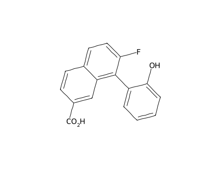 O=C(O)c1ccc2ccc(F)c(-c3ccccc3O)c2c1